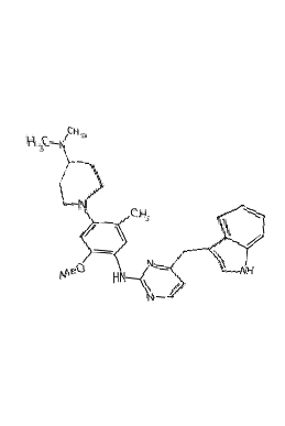 COc1cc(N2CCC(N(C)C)CC2)c(C)cc1Nc1nccc(Cc2c[nH]c3ccccc23)n1